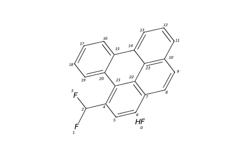 F.FC(F)c1ccc2ccc3cccc4c5ccccc5c1c2c34